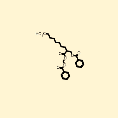 O=C(O)CCCCCCCC(COC(=O)c1ccccc1)C(=O)OCOC(=O)c1ccccc1